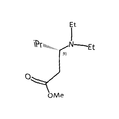 CCN(CC)[C@H](CC(=O)OC)C(C)C